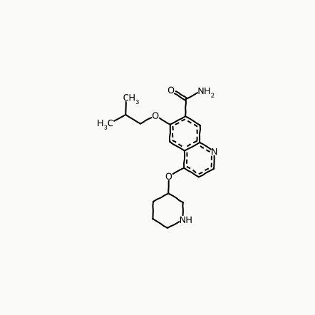 CC(C)COc1cc2c(OC3CCCNC3)ccnc2cc1C(N)=O